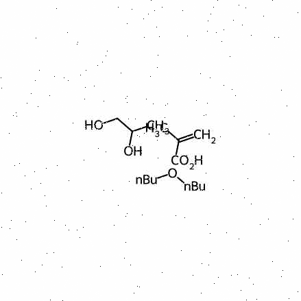 C=C(C)C(=O)O.CC(O)CO.CCCCOCCCC